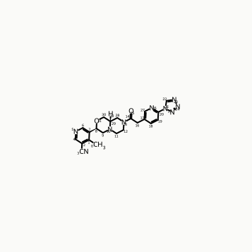 Cc1c(C#N)cncc1[C@@H]1CN2CCN(C(=O)Cc3ccc(-n4cnnn4)nc3)C[C@H]2CO1